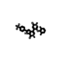 Cc1cccc(C)c1Oc1cn(C)c(=O)cc1-c1cn(C)c(=O)c2[nH]c(-c3ccc(S(C)(=O)=O)cc3)cc12